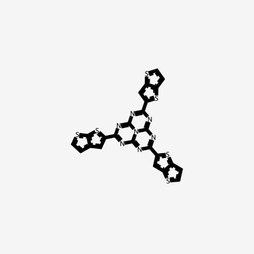 c1cc2sc(C3=NC4=NC(c5cc6sccc6s5)=NC5=NC(c6cc7ccsc7s6)=NC(=N3)N45)cc2s1